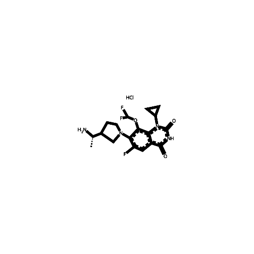 C[C@H](N)C1CCN(c2c(F)cc3c(=O)[nH]c(=O)n(C4CC4)c3c2OC(F)F)C1.Cl